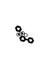 [O]c1c(-c2ccccc2)cccc1S(=O)(=O)c1ccccc1